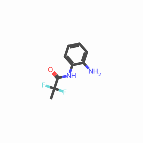 CC(F)(F)C(=O)Nc1ccccc1N